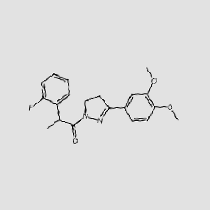 COc1ccc(C2=NN(C(=O)C(C)c3ccccc3F)CC2)cc1OC